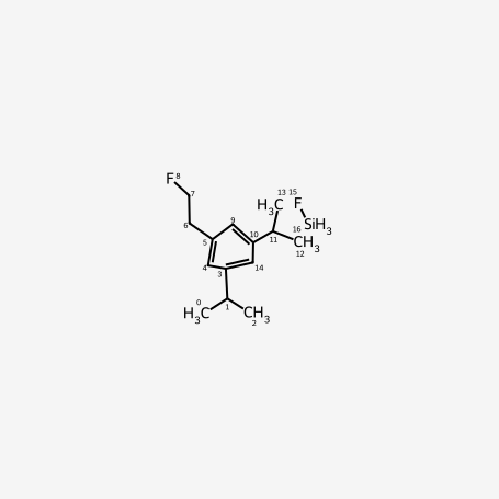 CC(C)c1cc(CCF)cc(C(C)C)c1.F[SiH3]